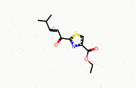 CCOC(=O)c1csc(C(=O)/C=C/C(C)C)n1